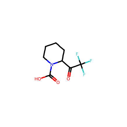 O=C(O)N1CCCCC1C(=O)C(F)(F)F